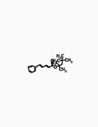 CC(C)(C)CC(C)(C)OC(=O)C=CC=Cc1ccccc1